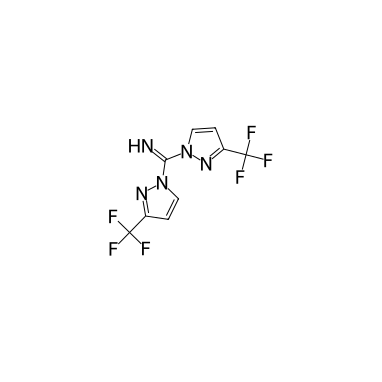 N=C(n1ccc(C(F)(F)F)n1)n1ccc(C(F)(F)F)n1